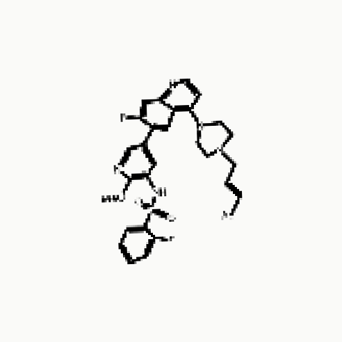 COc1ncc(-c2cc3c(N4CCN(C/C=C/C(C)=O)CC4)ccnc3cc2F)cc1NS(=O)(=O)c1ccccc1F